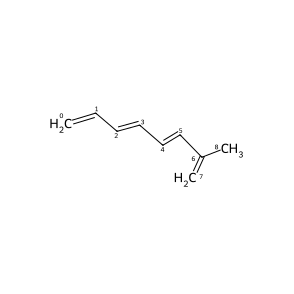 C=CC=CC=CC(=C)C